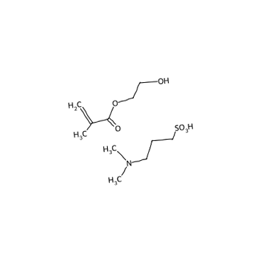 C=C(C)C(=O)OCCO.CN(C)CCCS(=O)(=O)O